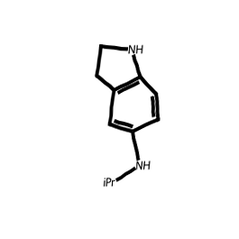 CC(C)Nc1ccc2c(c1)CCN2